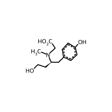 CN(CC(=O)O)[C@H](CCO)Cc1ccc(O)cc1